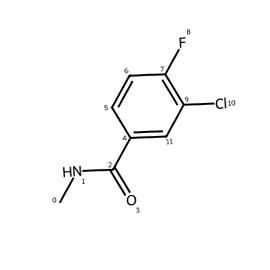 CNC(=O)c1ccc(F)c(Cl)c1